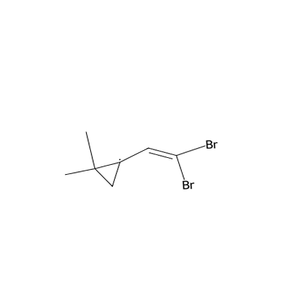 CC1(C)C[C]1C=C(Br)Br